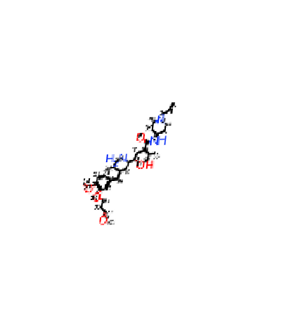 CCCN1CCC(NC(=O)C(CC(O)[C@@H](N)CC(Cc2ccc(OC)c(OCCCOC)c2)C(C)C)C(C)C)CC1